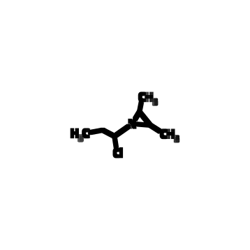 CCC(Cl)N1C(C)C1C